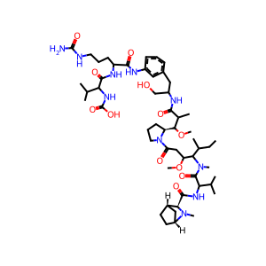 CCC(C)C(C(CC(=O)N1CCC[C@H]1C(OC)C(C)C(=O)NC(CO)Cc1cccc(NC(=O)C(CCCNC(N)=O)NC(=O)C(NC(=O)O)C(C)C)c1)OC)N(C)C(=O)C(NC(=O)[C@@H]1[C@H]2CC[C@H](C2)N1C)C(C)C